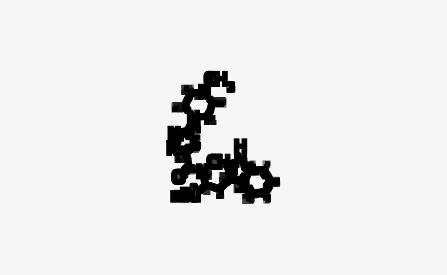 CCCCC(Cc1c[nH]c2ccccc12)N(C)C(=O)c1nnc(N2CCN(C)CC2)s1